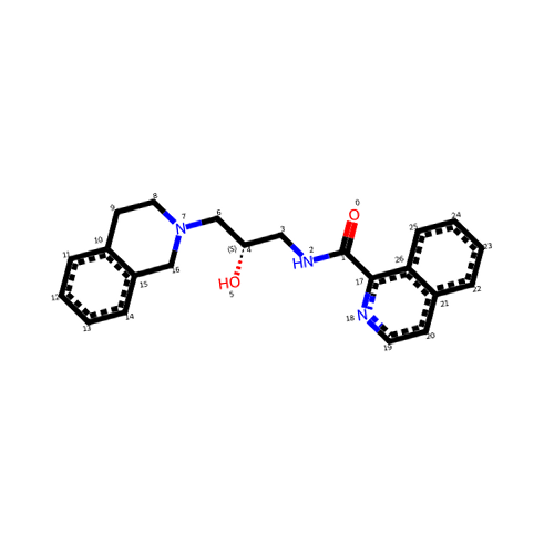 O=C(NC[C@H](O)CN1CCc2ccccc2C1)c1nccc2ccccc12